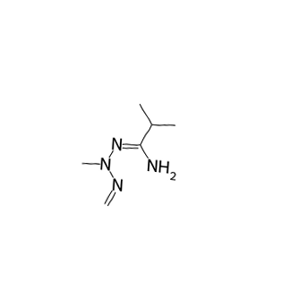 C=NN(C)/N=C(\N)C(C)C